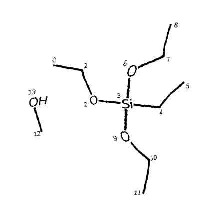 CCO[Si](CC)(OCC)OCC.CO